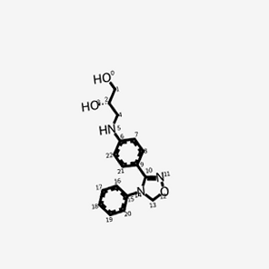 OC[C@@H](O)CNc1ccc(C2=NOCN2c2ccccc2)cc1